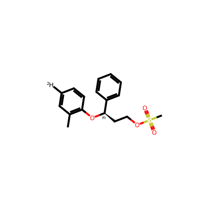 [2H]c1ccc(O[C@H](CCOS(C)(=O)=O)c2ccccc2)c(C)c1